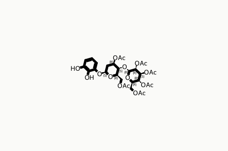 CC(=O)OC[C@H]1O[C@@H](Oc2cccc(O)c2O)C[C@@H](OC(C)=O)[C@@H]1O[C@H]1O[C@H](COC(C)=O)[C@@H](OC(C)=O)[C@H](OC(C)=O)[C@H]1OC(C)=O